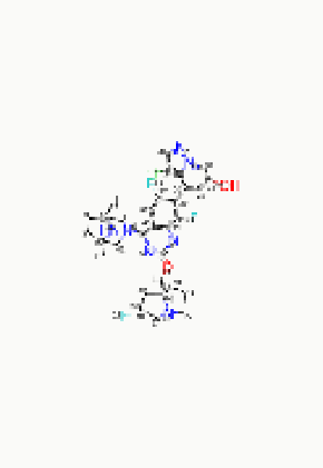 C[C@]12CC[C@H](CN(c3nc(OC[C@@]45CCCN4C[C@H](F)C5)nc4c(F)c(-c5cc(O)cn6ncc(Cl)c56)c(F)cc34)C1)N2